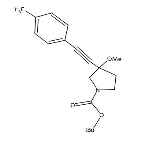 COC1(C#Cc2ccc(C(F)(F)F)cc2)CCN(C(=O)OC(C)(C)C)C1